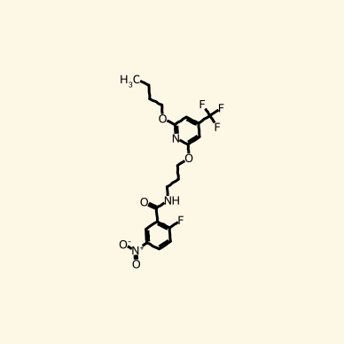 CCCCOc1cc(C(F)(F)F)cc(OCCCNC(=O)c2cc([N+](=O)[O-])ccc2F)n1